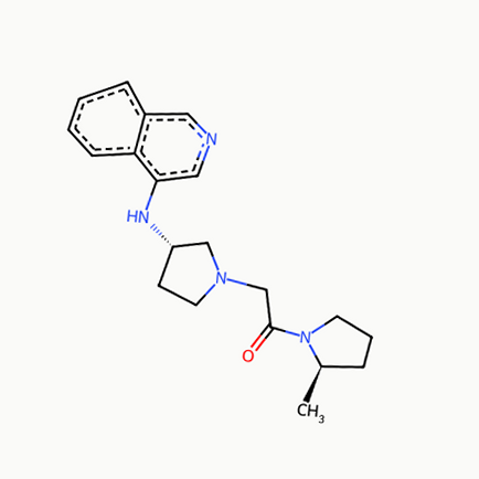 C[C@@H]1CCCN1C(=O)CN1CC[C@H](Nc2cncc3ccccc23)C1